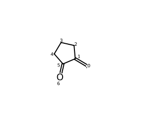 [CH]=C1CCCC1=O